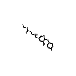 CCOC(=O)CCNCc1cnc(Oc2ccc(C)cc2)c(F)c1